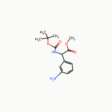 COC(=O)C(NC(=O)OC(C)(C)C)c1cccc(N)c1